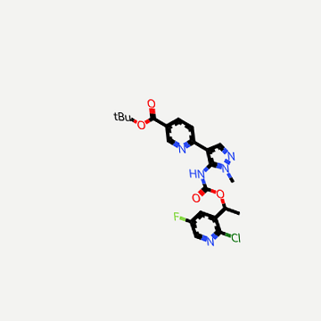 CC(OC(=O)Nc1c(-c2ccc(C(=O)OC(C)(C)C)cn2)cnn1C)c1cc(F)cnc1Cl